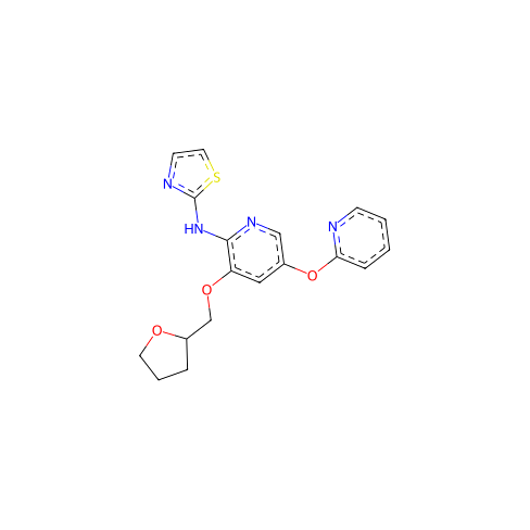 c1ccc(Oc2cnc(Nc3nccs3)c(OCC3CCCO3)c2)nc1